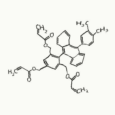 C=CC(=O)OCc1cc(COC(=O)C=C)c(-c2c3ccccc3c(-c3ccc(C)c(C)c3)c3ccccc23)c(COC(=O)C=C)c1